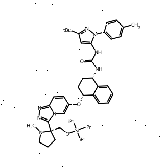 Cc1ccc(-n2nc(C(C)(C)C)cc2NC(=O)N[C@H]2CC[C@@H](Oc3ccc4nnc([C@]5(CO[Si](C(C)C)(C(C)C)C(C)C)CCCN5C)n4c3)c3ccccc32)cc1